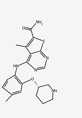 Cc1ccc(Nc2ncnc3sc(C(N)=O)c(C)c23)c(O[C@H]2CCCNC2)c1